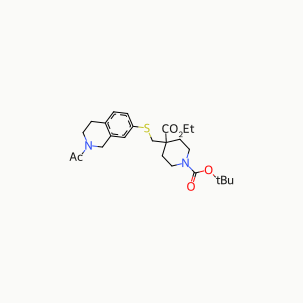 CCOC(=O)C1(CSc2ccc3c(c2)CN(C(C)=O)CC3)CCN(C(=O)OC(C)(C)C)CC1